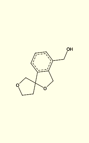 OCc1cccc2c1COC21CCOC1